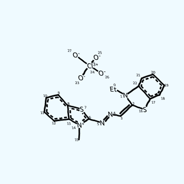 CCN1C(=CN=Nc2sc3ccccc3[n+]2C)Sc2ccccc21.[O-][Cl+3]([O-])([O-])[O-]